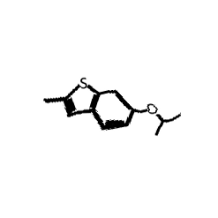 Cc1cc2ccc(OC(C)C)cc2s1